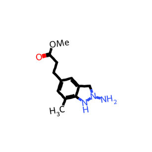 COC(=O)CCc1cc(C)c2c(c1)CN(N)N2